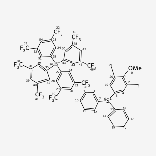 COc1c(C)cc([S+](c2ccccc2)c2ccccc2)cc1C.FC(F)(F)c1cc([B-](c2cc(C(F)(F)F)cc(C(F)(F)F)c2)(c2cc(C(F)(F)F)cc(C(F)(F)F)c2)c2cc(C(F)(F)F)cc(C(F)(F)F)c2)cc(C(F)(F)F)c1